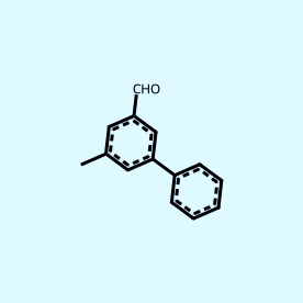 Cc1cc(C=O)cc(-c2ccccc2)c1